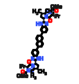 COC(=O)N[C@H](C(=O)N1[C@H](C)[C@H](C)C[C@H]1c1nc2ccc(-c3ccc4cc(-c5ccc6nc([C@@H]7C[C@@H](C)[C@@H](C)N7C(=O)[C@@H](NC(=O)OC)C(C)C)[nH]c6c5)ccc4c3)cc2[nH]1)C(C)C